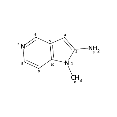 Cn1c(N)cc2cnccc21